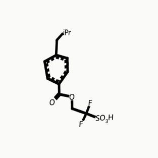 CC(C)Cc1ccc(C(=O)OCC(F)(F)S(=O)(=O)O)cc1